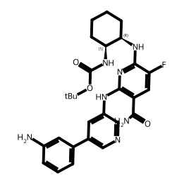 CC(C)(C)OC(=O)N[C@H]1CCCC[C@H]1Nc1nc(Nc2cncc(-c3cccc(N)c3)c2)c(C(N)=O)cc1F